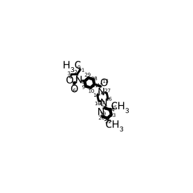 CCC1COC(=O)N1c1ccc(C(=O)N2CCN(c3ncc(C)cc3C)CC2)cc1